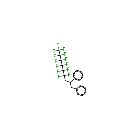 FC(F)(F)C(F)(F)C(F)(F)C(F)(F)C(F)(F)C(F)(F)CC(Cc1ccccc1)c1ccccc1